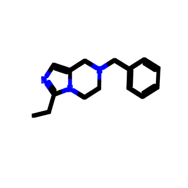 CCc1ncc2n1CCN(Cc1ccccc1)C2